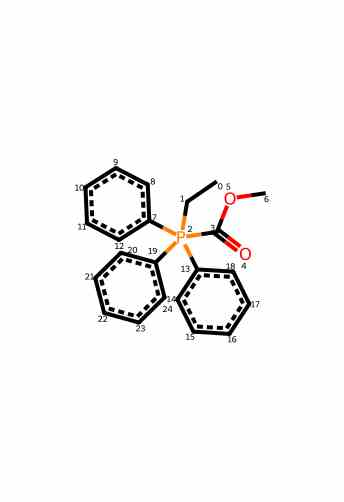 CCP(C(=O)OC)(c1ccccc1)(c1ccccc1)c1ccccc1